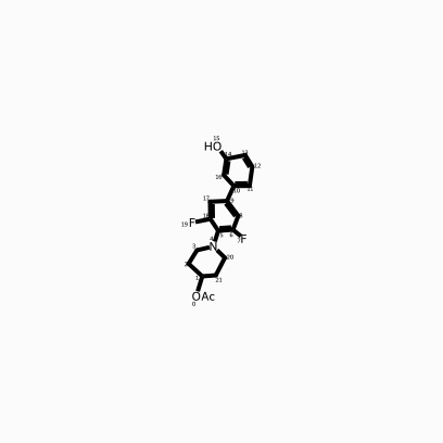 CC(=O)OC1CCN(c2c(F)cc(-c3cccc(O)c3)cc2F)CC1